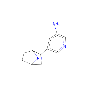 Nc1cncc(C2CC3CCC2N3)c1